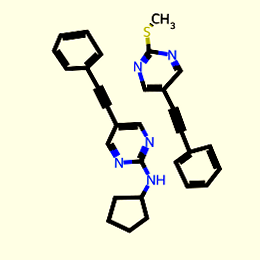 C(#Cc1cnc(NC2CCCC2)nc1)c1ccccc1.CSc1ncc(C#Cc2ccccc2)cn1